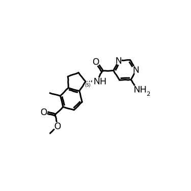 COC(=O)c1ccc2c(c1C)CC[C@@H]2NC(=O)c1cc(N)ncn1